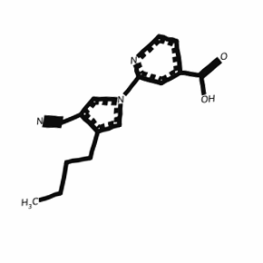 CCCCc1cn(-c2cc(C(=O)O)ccn2)cc1C#N